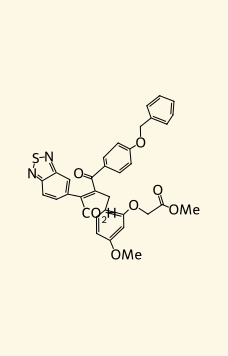 COC(=O)COc1cc(OC)ccc1CC(C(=O)c1ccc(OCc2ccccc2)cc1)=C(C(=O)O)c1ccc2nsnc2c1